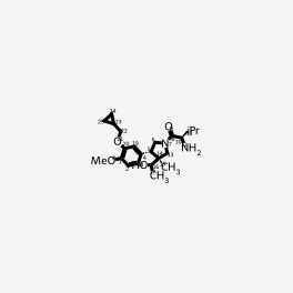 COc1ccc([C@@H]2CN(C(=O)[C@H](N)C(C)C)C[C@@]2(C)C(C)O)cc1OCC1CC1